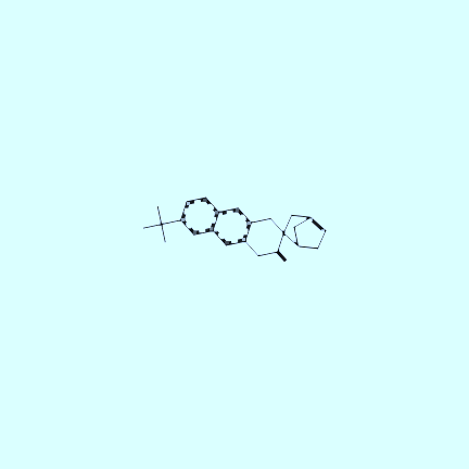 CC(C)(C)c1ccc2cc3c(cc2c1)CC(=O)C1(CC2=CCC1C2)C3